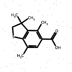 Cc1cc(C(=O)O)c(C)c2c1SCC2(C)C